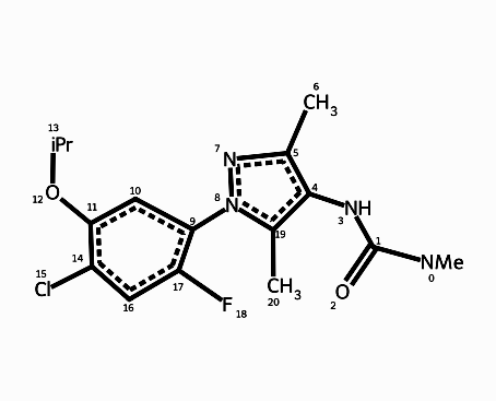 CNC(=O)Nc1c(C)nn(-c2cc(OC(C)C)c(Cl)cc2F)c1C